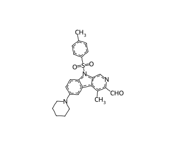 Cc1ccc(S(=O)(=O)n2c3ccc(N4CCCCC4)cc3c3c(C)c(C=O)ncc32)cc1